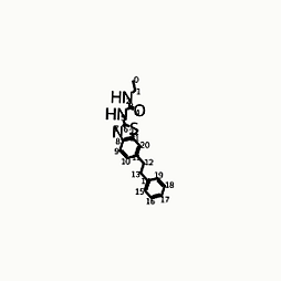 CCNC(=O)Nc1nc2ccc(CCc3ccccc3)cc2s1